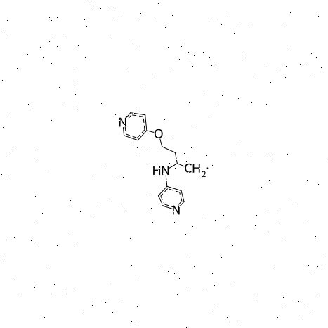 [CH2]C(CCOc1ccncc1)Nc1ccncc1